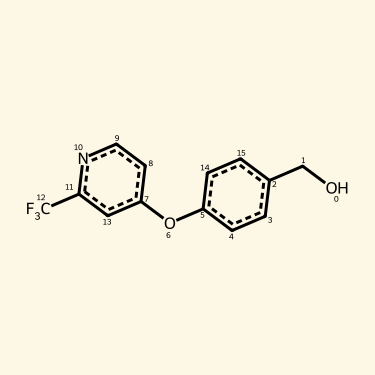 OCc1ccc(Oc2ccnc(C(F)(F)F)c2)cc1